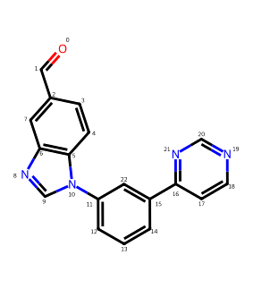 O=Cc1ccc2c(c1)ncn2-c1cccc(-c2ccncn2)c1